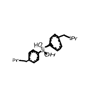 CC(C)Cc1ccc([Si](O)(O)c2ccc(CC(C)C)cc2)cc1